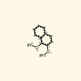 CC(C)Oc1ccc2ccccc2c1OC(C)C